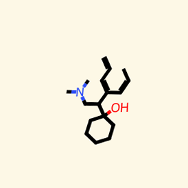 C=C/C=C(\C=C/C)C(CN(C)C)C1(O)CCCCC1